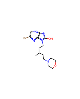 CC(CCN1CCOCC1)CCn1c(O)nc2ncc(Br)nc21